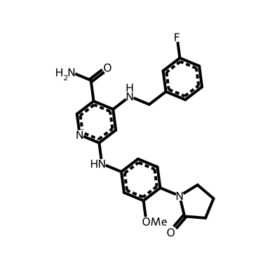 COc1cc(Nc2cc(NCc3cccc(F)c3)c(C(N)=O)cn2)ccc1N1CCCC1=O